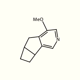 COc1cncc2c1CC1CCC21